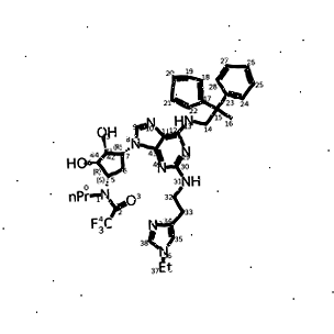 CCCN(C(=O)C(F)(F)F)[C@H]1C[C@@H](n2cnc3c(NCC(C)(c4ccccc4)c4ccccc4)nc(NCCc4cn(CC)cn4)nc32)[C@H](O)[C@@H]1O